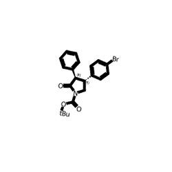 CC(C)(C)OC(=O)N1C[C@@H](c2ccc(Br)cc2)[C@H](c2ccccc2)C1=O